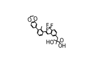 Cc1c(C=Cc2cc(CC(C)(CO)C(=O)O)ccc2C(F)(F)F)cccc1-c1ccc2c(c1)OCCO2